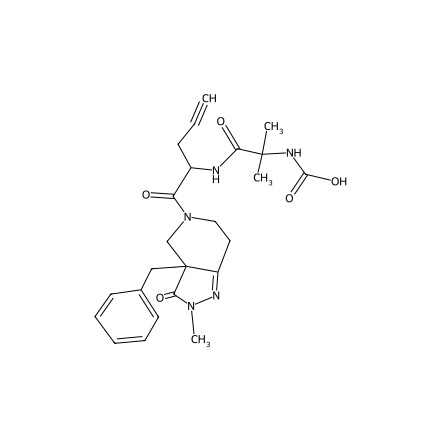 C#CCC(NC(=O)C(C)(C)NC(=O)O)C(=O)N1CCC2=NN(C)C(=O)C2(Cc2ccccc2)C1